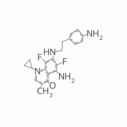 Cc1cn(C2CC2)c2c(F)c(NCCc3ccc(N)cc3)c(F)c(N)c2c1=O